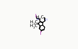 C/C=C\C1=C(/C=C/I)C(C)(C)C2=CC(I)=CCC21